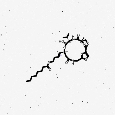 CCCCCCCC(=O)SCC/C=C/[C@@H]1CC(=O)NCc2nc(cs2)C2=N[C@@](C)(CS2)C(=O)N[C@@H](C(C)C)C(O)O1